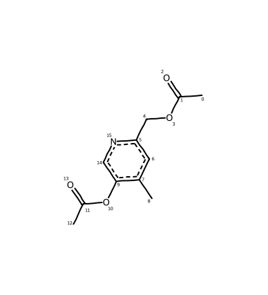 CC(=O)OCc1cc(C)c(OC(C)=O)cn1